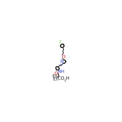 CCC(CC)(CC(=O)Nc1cccc(/C=C/c2cccc(COCCCCc3ccc(F)cc3)n2)c1)C(=O)O